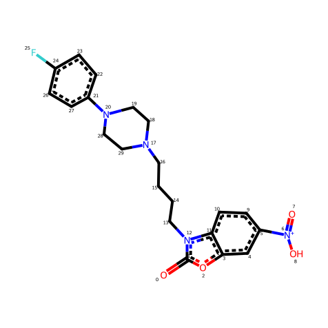 O=c1oc2cc([N+](=O)O)ccc2n1CCCCN1CCN(c2ccc(F)cc2)CC1